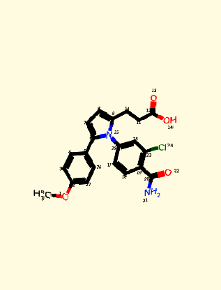 COc1ccc(-c2ccc(CCC(=O)O)n2-c2ccc(C(N)=O)c(Cl)c2)cc1